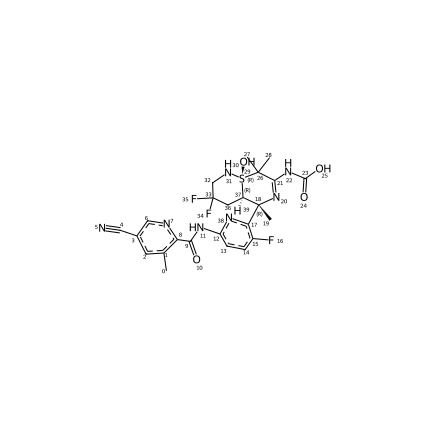 Cc1cc(C#N)cnc1C(=O)Nc1ccc(F)c([C@@]2(C)N=C(NC(=O)O)C(C)(C)[S@@]3(O)NCC(F)(F)C[C@H]23)n1